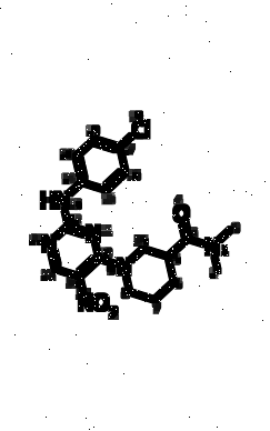 CN(C)C(=O)C1CCCN(c2nc(Nc3ccc(Cl)cc3)ncc2[N+](=O)[O-])C1